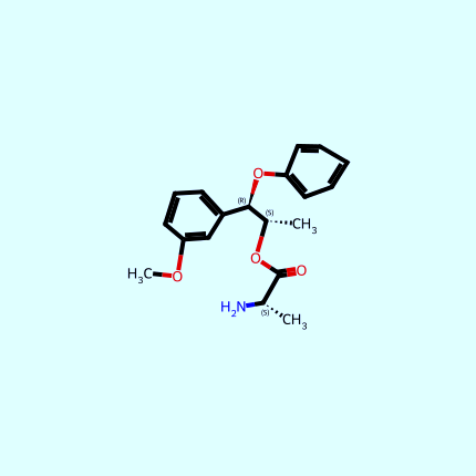 COc1cccc([C@@H](Oc2ccccc2)[C@H](C)OC(=O)[C@H](C)N)c1